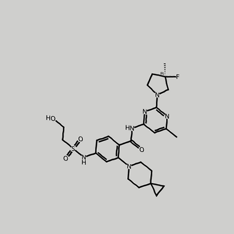 Cc1cc(NC(=O)c2ccc(NS(=O)(=O)CCO)cc2N2CCC3(CC2)CC3)nc(N2CC[C@@](C)(F)C2)n1